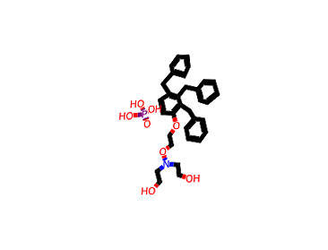 O=P(O)(O)O.OCCN(CCO)OCCOc1ccc(Cc2ccccc2)c(Cc2ccccc2)c1Cc1ccccc1